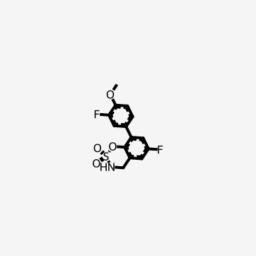 COc1ccc(-c2cc(F)cc3c2OS(=O)(=O)NC3)cc1F